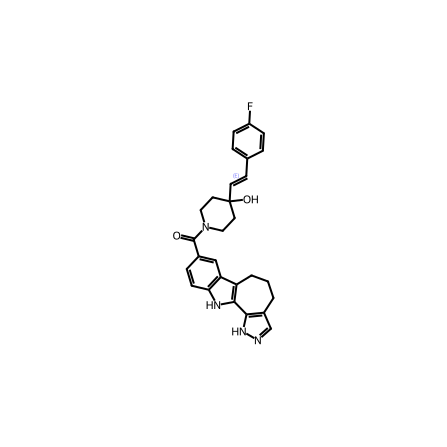 O=C(c1ccc2[nH]c3c(c2c1)CCCc1cn[nH]c1-3)N1CCC(O)(/C=C/c2ccc(F)cc2)CC1